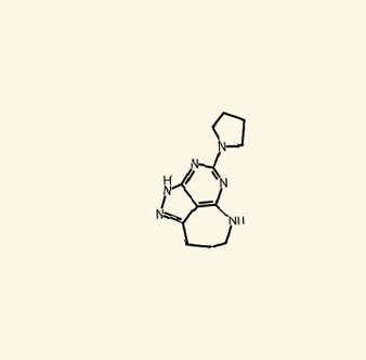 C1CNc2nc(N3CCCC3)nc3[nH]nc(c23)C1